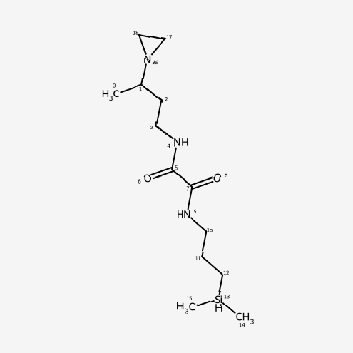 CC(CCNC(=O)C(=O)NCCC[SiH](C)C)N1CC1